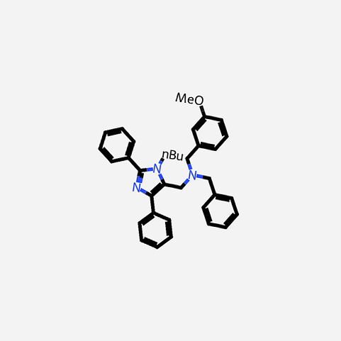 CCCCn1c(-c2ccccc2)nc(-c2ccccc2)c1CN(Cc1ccccc1)Cc1cccc(OC)c1